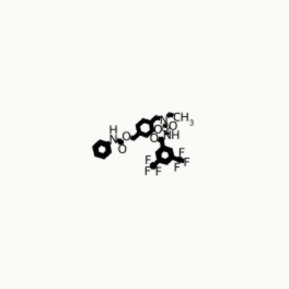 CCN(CC1CCC(COC(=O)Nc2ccccc2)CC1)S(=O)(=O)NC(=O)c1cc(C(F)(F)F)cc(C(F)(F)F)c1